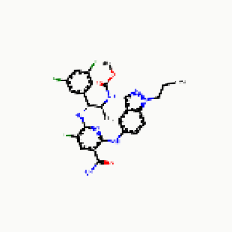 COCCn1ncc2cc(Nc3nc(N[C@H](c4cc(F)cc(F)c4)[C@H](C)NC(=O)OC(C)(C)C)c(F)cc3C(N)=O)ccc21